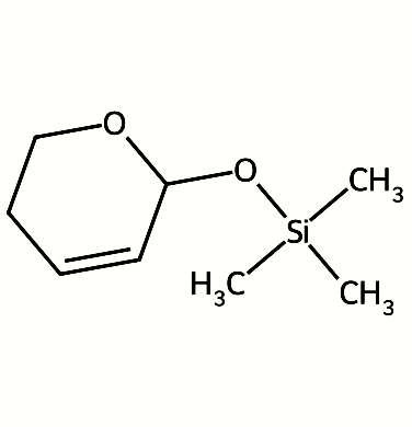 C[Si](C)(C)OC1C=CCCO1